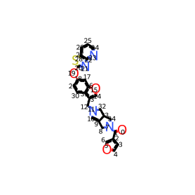 O=C(c1ccoc1)N1CC2=CN(Cc3coc4cc(Oc5nc6ncccc6s5)ccc34)CC2C1